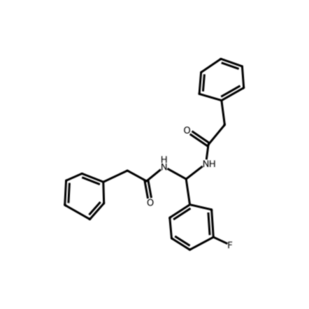 O=C(Cc1ccccc1)NC(NC(=O)Cc1ccccc1)c1cccc(F)c1